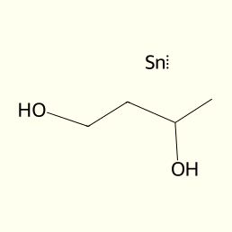 CC(O)CCO.[Sn]